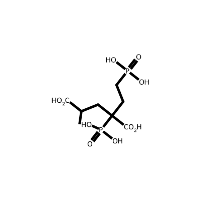 CC(CC(CCP(=O)(O)O)(C(=O)O)P(=O)(O)O)C(=O)O